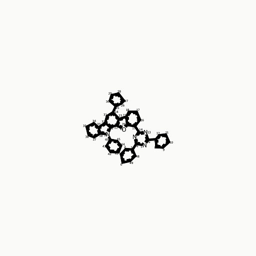 c1ccc(-c2nc(-c3ccccc3)nc(-c3cccc4c3oc3c4c(-c4ccccc4)cc4c5ccccc5n(-c5ccccc5)c43)n2)cc1